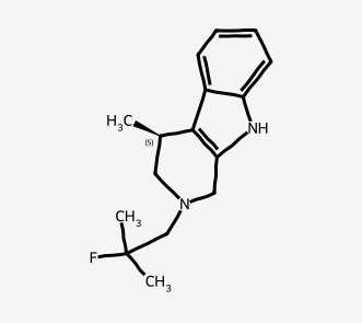 C[C@@H]1CN(CC(C)(C)F)Cc2[nH]c3ccccc3c21